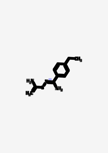 C=C(N)S/N=C(\N)c1ccc(CC)cc1